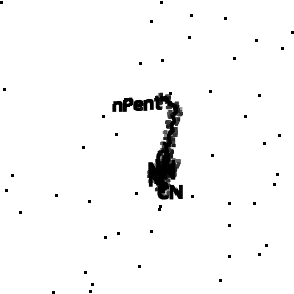 CCCCC/C=C\C/C=C\CCCCCCCCOc1c2ncnc(SCC#N)c2nn1C